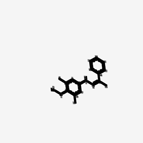 CCOc1c(C)cc(NN=C(C)c2ccccc2)cc1C